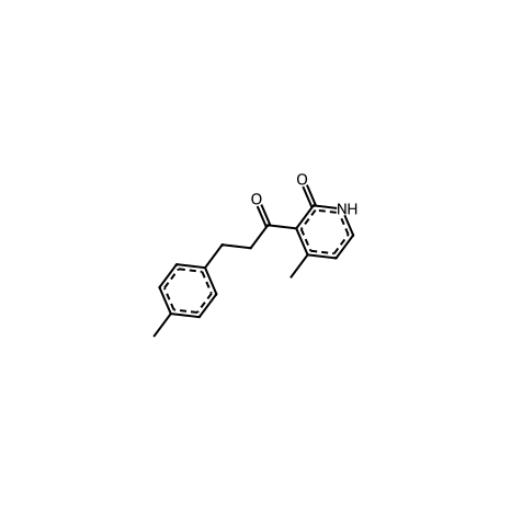 Cc1ccc(CCC(=O)c2c(C)cc[nH]c2=O)cc1